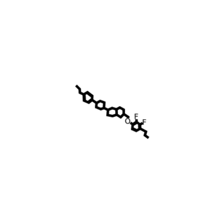 CCCc1ccc(C2CCC(C3CCC4CC(COc5ccc(CCC)c(F)c5F)CCC4C3)CC2)cc1